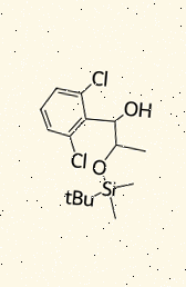 CC(O[Si](C)(C)C(C)(C)C)C(O)c1c(Cl)cccc1Cl